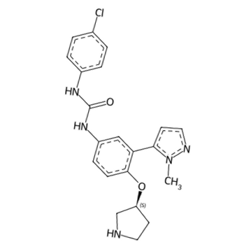 Cn1nccc1-c1cc(NC(=O)Nc2ccc(Cl)cc2)ccc1O[C@H]1CCNC1